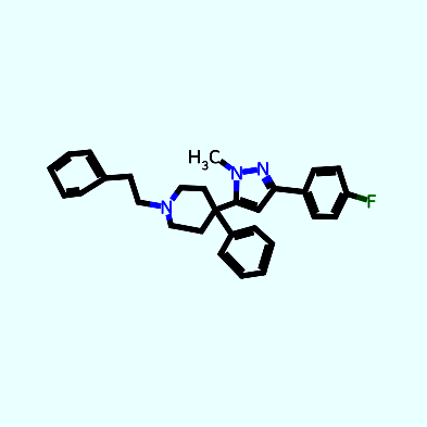 Cn1nc(-c2ccc(F)cc2)cc1C1(c2ccccc2)CCN(CCc2ccccc2)CC1